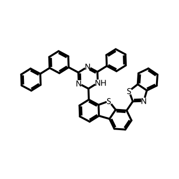 c1ccc(C2=NC(c3cccc(-c4ccccc4)c3)=NC(c3cccc4c3sc3c(-c5nc6ccccc6s5)cccc34)N2)cc1